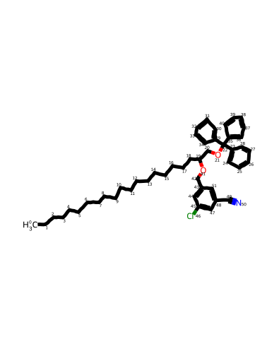 CCCCCCCCCCCCCCCCCCCC(COC(c1ccccc1)(c1ccccc1)c1ccccc1)OCc1cc(Cl)cc(C#N)c1